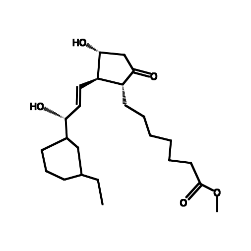 CCC1CCCC([C@H](O)C=C[C@H]2[C@H](O)CC(=O)[C@@H]2CCCCCCC(=O)OC)C1